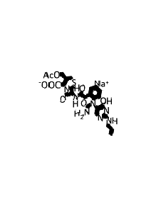 C=CCNc1ncc(N(C(N)=O)c2ccccc2CC(=O)NC2C(=O)N3C(C(=O)[O-])=C(COC(C)=O)CS[C@H]23)c(O)n1.[Na+]